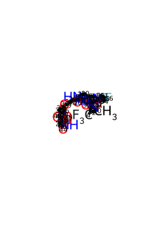 Cc1cc(C(F)(F)F)cc(N2C(=O)NC[C@H]2C(=O)N(CC#Cc2ccc(NC(=O)CCCCOc3ccc4c(c3)C(=O)N(C3CCC(=O)NC3=O)C4=O)nn2)c2ccc(F)cc2)n1